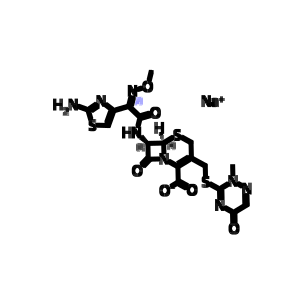 CO/N=C(\C(=O)N[C@@H]1C(=O)N2C(C(=O)[O-])=C(CSc3nc(=O)cnn3C)CS[C@H]12)c1csc(N)n1.[Na+]